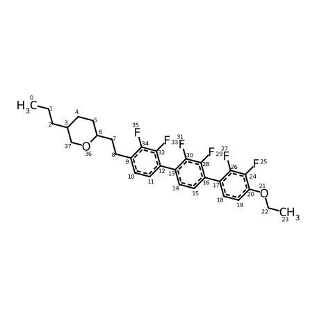 CCCC1CCC(CCc2ccc(-c3ccc(-c4ccc(OCC)c(F)c4F)c(F)c3F)c(F)c2F)OC1